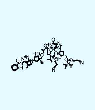 C#C[C@]1(COCC(C)C(=O)Nc2nc3c(ncn3[C@@H]3C[C@H](COP(OCCC#N)N(C(C)C)C(C)C)[C@@H](F)[C@H]3OP(OCCC#N)N(C(C)C)C(C)C)c(=O)[nH]2)C[C@@H](n2cc(F)c3c(NC(=O)c4ccccc4)ncnc32)C[C@@H]1O